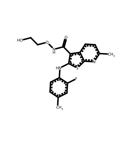 Cc1ccc(Nc2sc3nc(C)ccc3c2C(=O)NOCCO)c(F)c1